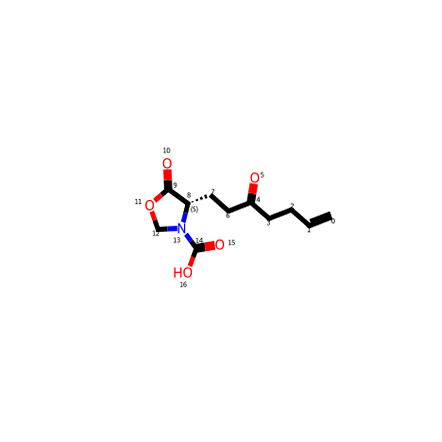 C=CCCC(=O)CC[C@H]1C(=O)OCN1C(=O)O